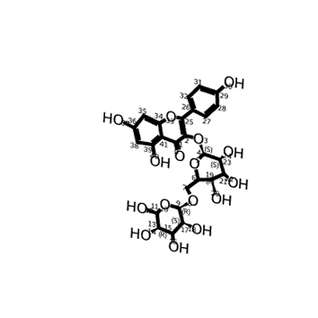 O=c1c(O[C@@H]2OC(CO[C@@H]3OC(O)[C@H](O)C(O)[C@@H]3O)[C@H](O)C(O)[C@@H]2O)c(-c2ccc(O)cc2)oc2cc(O)cc(O)c12